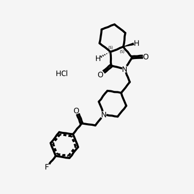 Cl.O=C(CN1CCC(CN2C(=O)[C@H]3CCCC[C@@H]3C2=O)CC1)c1ccc(F)cc1